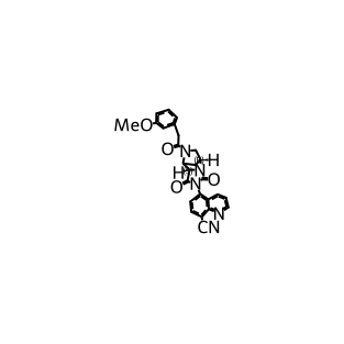 COc1cccc(CC(=O)N2C[C@H]3CC2[C@H]2C(=O)N(c4ccc(C#N)c5ncccc45)C(=O)N32)c1